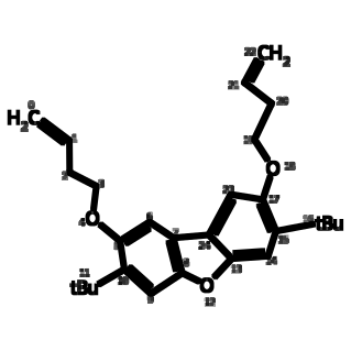 C=CCCOc1cc2c(cc1C(C)(C)C)oc1cc(C(C)(C)C)c(OCCC=C)cc12